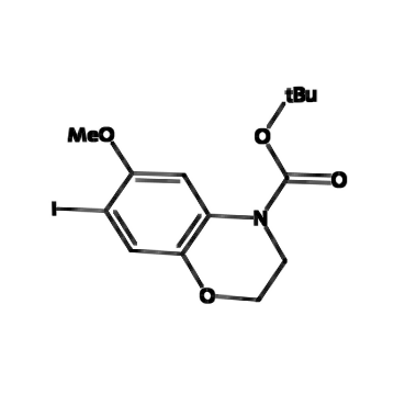 COc1cc2c(cc1I)OCCN2C(=O)OC(C)(C)C